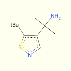 CC(C)(C)c1sncc1C(C)(C)N